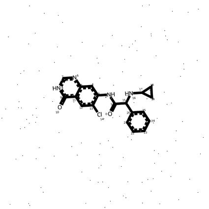 O=C(Nc1cc2nc[nH]c(=O)c2cc1Cl)C(NC1CC1)c1ccccc1